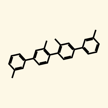 Cc1cccc(-c2ccc(-c3ccc(-c4cccc(C)c4)cc3C)c(C)c2)c1